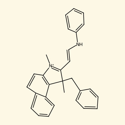 C[N+]1=C(C=CNc2ccccc2)C(C)(Cc2ccccc2)c2c1ccc1ccccc21